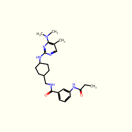 CCC(=O)Nc1cccc(C(=O)NCC2CCC(Nc3ncc(C)c(N(C)C)n3)CC2)c1